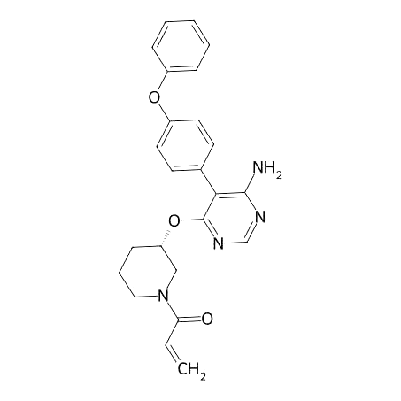 C=CC(=O)N1CCC[C@H](Oc2ncnc(N)c2-c2ccc(Oc3ccccc3)cc2)C1